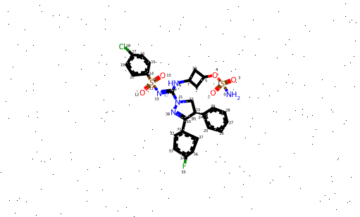 NS(=O)(=O)OC1CC(N/C(=N\S(=O)(=O)c2ccc(Cl)cc2)N2C[C@@H](c3ccccc3)C(c3ccc(F)cc3)=N2)C1